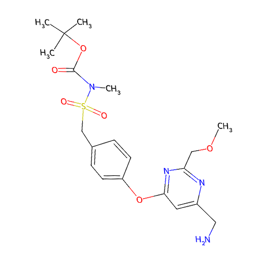 COCc1nc(CN)cc(Oc2ccc(CS(=O)(=O)N(C)C(=O)OC(C)(C)C)cc2)n1